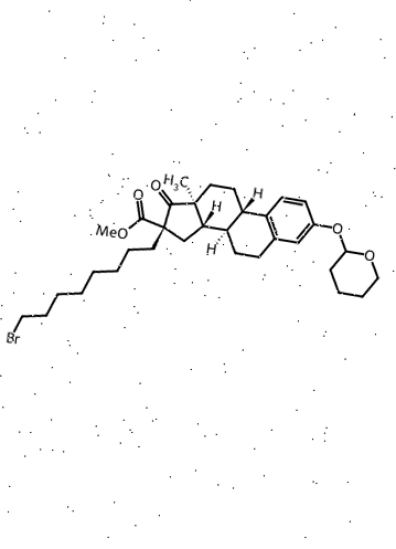 COC(=O)[C@@]1(CCCCCCCCBr)C[C@H]2[C@@H]3CCc4cc(OC5CCCCO5)ccc4[C@H]3CC[C@]2(C)C1=O